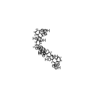 Cc1cc(Nc2c(O)cc(S(=O)(=O)O)c3ccccc23)ccc1S(=O)(=O)NC(=O)NS(=O)(=O)c1ccc(Nc2c(O)cc(S(=O)(=O)O)c3ccccc23)cc1C